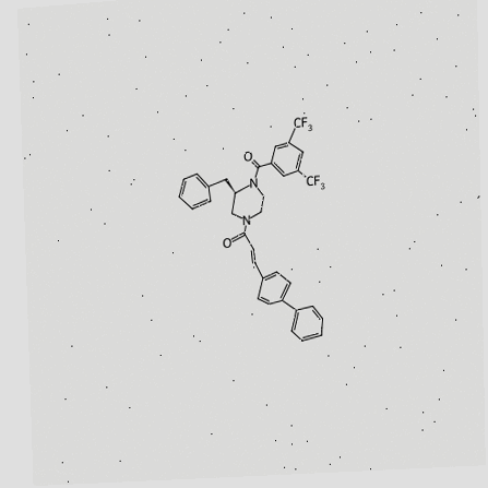 O=C(C=Cc1ccc(-c2ccccc2)cc1)N1CCN(C(=O)c2cc(C(F)(F)F)cc(C(F)(F)F)c2)[C@H](Cc2ccccc2)C1